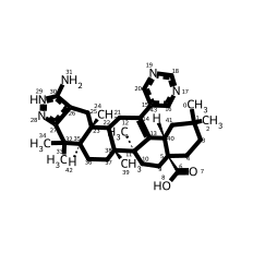 CC1(C)CC[C@]2(C(=O)O)CC[C@]3(C)C(=C(c4cncnc4)CC4[C@@]5(C)Cc6c(n[nH]c6N)C(C)(C)[C@@H]5CC[C@]43C)[C@@H]2C1